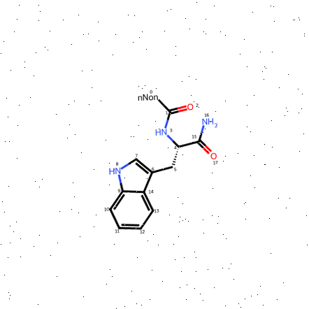 CCCCCCCCCC(=O)N[C@@H](Cc1c[nH]c2ccccc12)C(N)=O